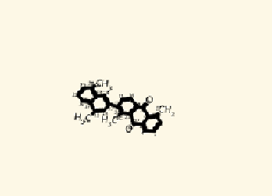 Cc1cccc2c1C(=O)c1ccc(-c3cc(C)c4cccc(C)c4c3)c(C)c1C2=O